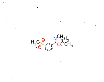 C=C(C)O/C(=N\C)c1cccc(S(C)(=O)=O)c1